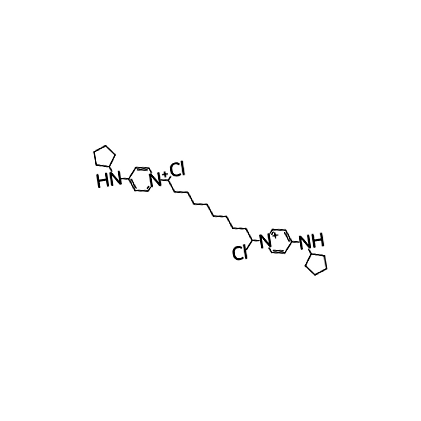 ClC(CCCCCCCCC(Cl)[n+]1ccc(NC2CCCC2)cc1)[n+]1ccc(NC2CCCC2)cc1